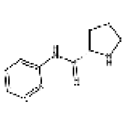 O=C(Nc1cccnn1)[C@@H]1CCCN1